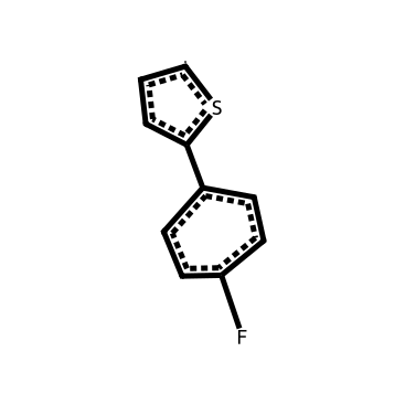 Fc1ccc(-c2cc[c]s2)cc1